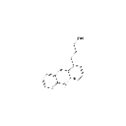 OCCCc1cccc2c1Sc1ccccc1N2